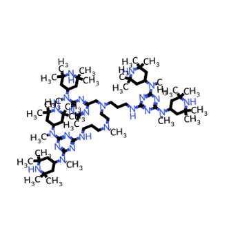 Cc1nc(CN(CCCNc2nc(N(C)C3CC(C)(C)NC(C)(C)C3)nc(N(C)C3CC(C)(C)NC(C)(C)C3)n2)CCN(C)CCCNc2nc(N(C)C3CC(C)(C)NC(C)(C)C3)nc(N(C)C3CC(C)(C)NC(C)(C)C3)n2)nc(N(C)C2CC(C)(C)NC(C)(C)C2)n1